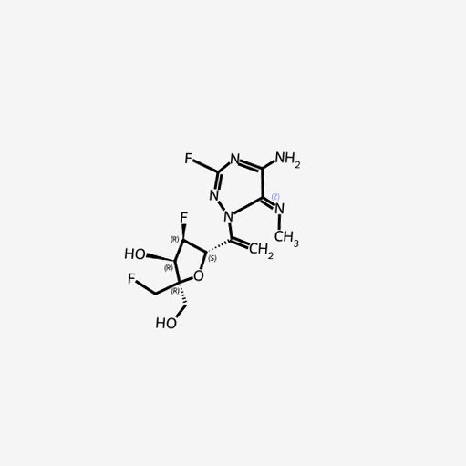 C=C([C@@H]1O[C@@](CO)(CF)[C@@H](O)[C@H]1F)n1nc(F)nc(N)/c1=N/C